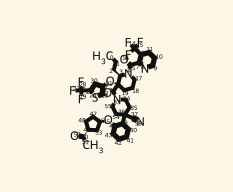 CCC[C@H]1N(C(=O)c2ncccc2C(F)(F)F)CCC[C@@]1(Oc1csc(C(F)(F)F)c1)C(=O)N1CCC(C#N)(c2ccccc2O[C@@H]2CC[C@@H](C(C)=O)C2)CC1